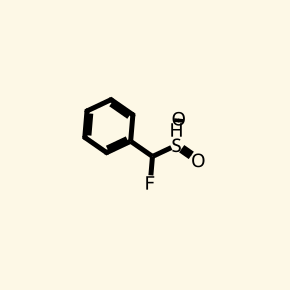 O=[SH](=O)C(F)c1ccccc1